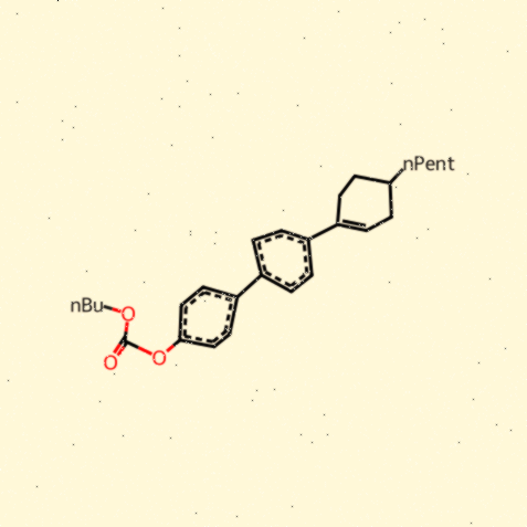 CCCCCC1CC=C(c2ccc(-c3ccc(OC(=O)OCCCC)cc3)cc2)CC1